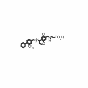 O=C(O)CCNCc1cc2c(cc1Cl)C(=NOCc1ccc(C3CCCCC3)c(C(F)(F)F)c1)CCO2